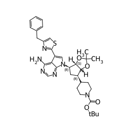 CC(C)(C)OC(=O)N1CCC([C@H]2C[C@@H](n3cc(-c4nc(Cc5ccccc5)cs4)c4c(N)ncnc43)[C@@H]3OC(C)(C)O[C@@H]32)CC1